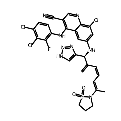 C=C(/C=C\C=C(/C)N1CCCS1(=O)=O)[C@H](Nc1cc(Cl)c2ncc(C#N)c(Nc3ccc(Cl)c(Cl)c3F)c2c1)c1c[nH]nn1